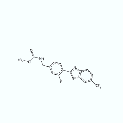 CC(C)(C)OC(=O)NCc1ccc(-c2nc3cc(C(F)(F)F)ccn3n2)c(F)c1